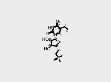 C=P(C)(C)CC[C@H]1O[C@@H](n2cc(CC)c(=O)[nH]c2=O)[C@H](O)[C@@H]1O